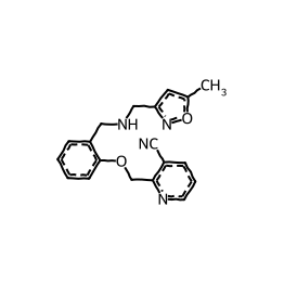 Cc1cc(CNCc2ccccc2OCc2ncccc2C#N)no1